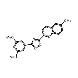 COc1ccc2nc(-c3noc(-c4cc(OC)nc(OC)c4)n3)ccc2c1